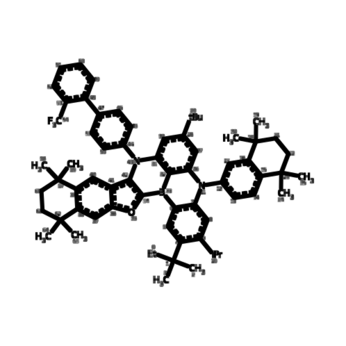 CCC(C)(C)c1cc2c(cc1C(C)C)N(c1ccc3c(c1)C(C)(C)CCC3(C)C)c1cc(C(C)(C)C)cc3c1B2c1oc2cc4c(cc2c1N3c1ccc(-c2ccccc2C(F)(F)F)cc1)C(C)(C)CCC4(C)C